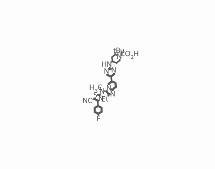 CCc1nc2ccc(-c3cnc(NC4CCN(C(=O)O)C(C(C)(C)C)C4)nc3)cn2c1N(C)c1nc(-c2ccc(F)cc2)c(C#N)s1